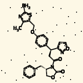 Bc1nc(C)c(COc2ccc([C@H](CC(=O)N3C(=O)OC[C@@H]3Cc3ccccc3)c3ccon3)cc2)s1